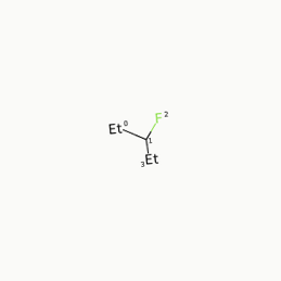 [CH2]CC(F)C[CH2]